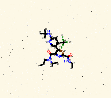 CCCN(C(=O)c1nc(C(=O)NCC)sc1-c1cnc(NC(C)(C)C)cc1C(F)(F)F)C(C)C